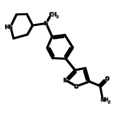 CN(c1ccc(-c2cc(C(N)=O)on2)cc1)C1CCNCC1